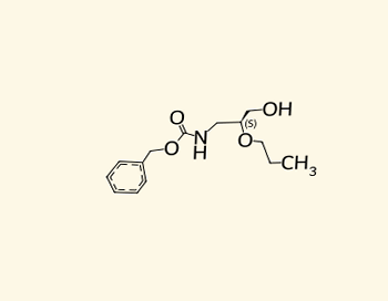 CCCO[C@H](CO)CNC(=O)OCc1ccccc1